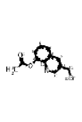 CC(=O)Oc1cccc2cc(CBr)cnc12